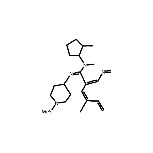 C=C\C(C)=C/C(=C/N=C)C(=N\C1CCN(SC)CC1)/N(C)C1CCCC1C